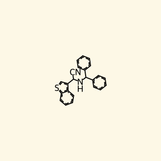 N#CC(NC(c1ccccc1)c1ccccc1)c1csc2ccccc12